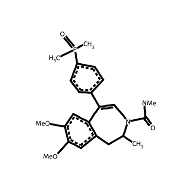 CNC(=O)N1C=C(c2ccc(P(C)(C)=O)cc2)c2cc(OC)c(OC)cc2CC1C